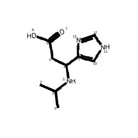 CC(C)NC(CC(=O)O)c1c[nH]cn1